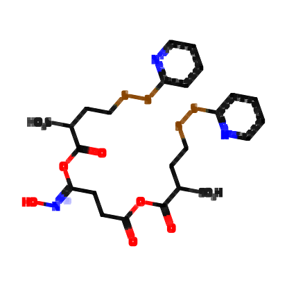 O=C(CC/C(=N/O)OC(=O)C(CCSSc1ccccn1)S(=O)(=O)O)OC(=O)C(CCSSc1ccccn1)S(=O)(=O)O